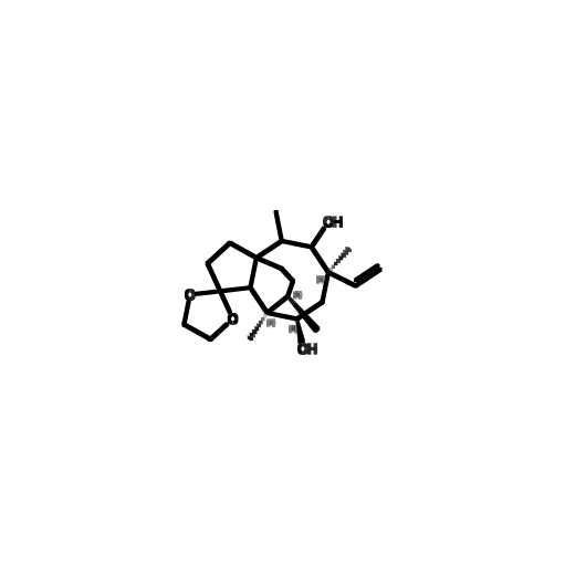 C=C[C@@]1(C)C[C@@H](O)[C@@]2(C)C3C4(CCC3(CC[C@H]2C)C(C)C1O)OCCO4